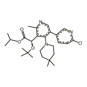 Cc1ncc(-c2ccc(Cl)nc2)c(N2CCC(C)(C)CC2)c1[C@@H](OC(C)(C)C)C(=O)OC(C)C